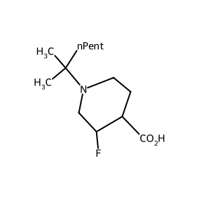 CCCCCC(C)(C)N1CCC(C(=O)O)C(F)C1